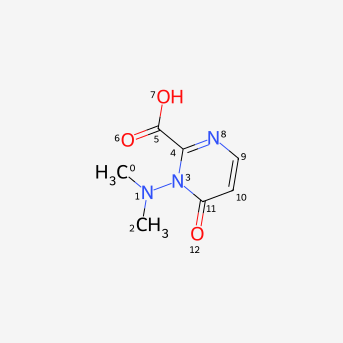 CN(C)n1c(C(=O)O)nccc1=O